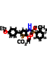 CCOc1ccc(-c2cc(NS(=O)(=O)c3ccccc3C)c(OC(=O)O)s2)cc1